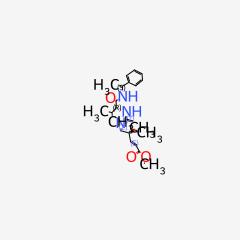 CC=C(/C=N\C(=C/C)N[C@@H](C(=O)N[C@@H](C)c1ccccc1)C(C)C)/C=C/C(=O)OC